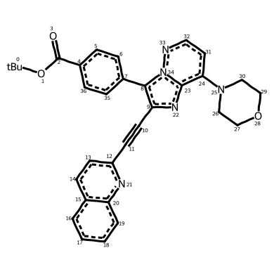 CC(C)(C)OC(=O)c1ccc(-c2c(C#Cc3ccc4ccccc4n3)nc3c(N4CCOCC4)ccnn23)cc1